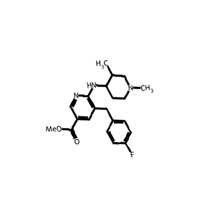 COC(=O)c1cnc(NC2CCN(C)CC2C)c(Cc2ccc(F)cc2)c1